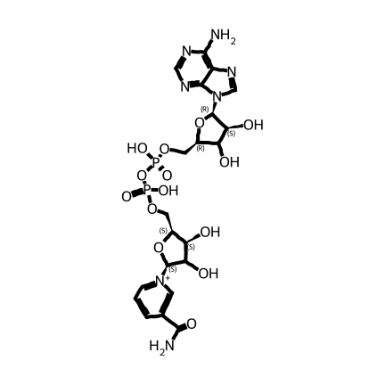 NC(=O)c1ccc[n+]([C@H]2O[C@@H](COP(=O)(O)OP(=O)(O)OC[C@H]3O[C@@H](n4cnc5c(N)ncnc54)[C@@H](O)C3O)[C@@H](O)C2O)c1